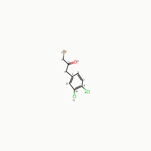 O=C(CBr)Cc1ccc(Cl)c(Cl)c1